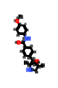 CCOc1ccc(NC(=O)c2ccc([C@H]3O[C@@H]4CN[C@H]3C4)cc2)cc1